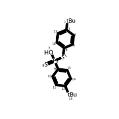 CC(C)(C)c1ccc(SP(O)(=S)c2ccc(C(C)(C)C)cc2)cc1